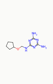 Nc1nc(N)nc(NCOC2CCCC2)n1